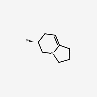 F[C@@H]1CC=C2CCCN2C1